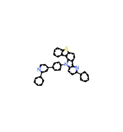 c1ccc(-c2cc(-c3ccc(-n4c5ccc(-c6ccccc6)nc5c5ccc6sc7ccccc7c6c54)cc3)ccn2)cc1